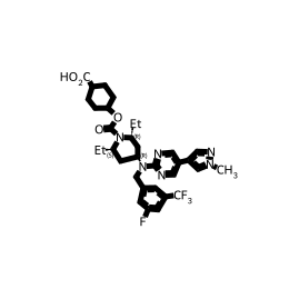 CC[C@@H]1C[C@H](N(Cc2cc(F)cc(C(F)(F)F)c2)c2ncc(-c3cnn(C)c3)cn2)C[C@H](CC)N1C(=O)OC1CCC(C(=O)O)CC1